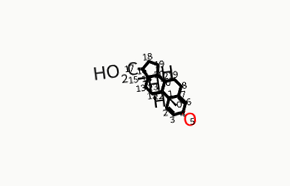 C[C@]12C=CC(=O)C=C1CC[C@@H]1[C@@H]2CC[C@]2(C)C(C(=O)O)CC[C@@H]12